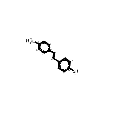 Cc1ccc(/C=C/c2ccc(S)cc2)cc1